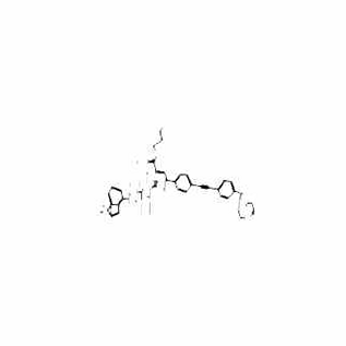 CCCCOC(=O)c1cc(-c2ccc(C#Cc3ccc(CN4CCOCC4)cc3)cc2)nc(NC(=O)Nc2cccc3c2ccn3C)n1